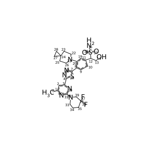 Cc1cc(-c2nnc(-c3ccc(C(CO)S(N)(=O)=O)cc3N3CCC4(CC3)CC4)s2)nc(N2CCCC(F)(F)C2)n1